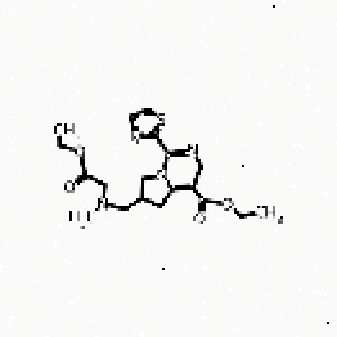 CCOC(=O)CN(C)CC1CC2=C(C(=O)OCC)CN=C(c3nccs3)N2C1